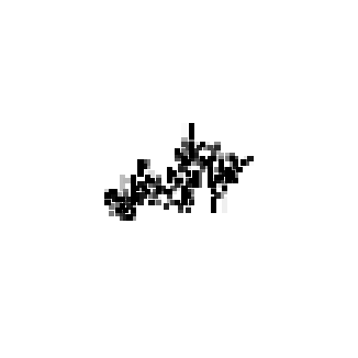 Cn1cc(-c2ccc3[nH]nc(-c4nc5c(-c6cc(F)cc(CNS(C)(=O)=O)c6)ccnc5[nH]4)c3n2)c(CO)n1